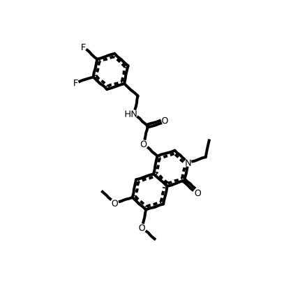 CCn1cc(OC(=O)NCc2ccc(F)c(F)c2)c2cc(OC)c(OC)cc2c1=O